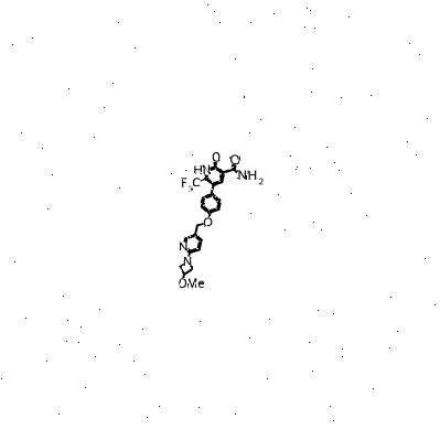 COC1CN(c2ccc(COc3ccc(-c4cc(C(N)=O)c(=O)[nH]c4C(F)(F)F)cc3)cn2)C1